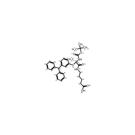 CC(C)(C)OC(=O)N[C@](C)(Sc1cccc(C(c2ccccc2)c2ccccc2)c1)C(=O)NCCCCC(=O)O